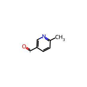 Cc1ccc([C]=O)cn1